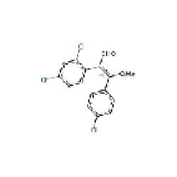 CO/C(=C(\C=O)c1ccc(Cl)cc1Cl)c1ccc(Cl)cc1